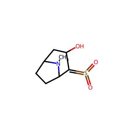 CN1C2CCC1C(=S(=O)=O)C(O)C2